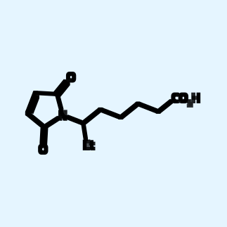 CCC(CCCCC(=O)O)N1C(=O)C=CC1=O